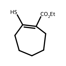 CCOC(=O)C1=C(S)CCCCC1